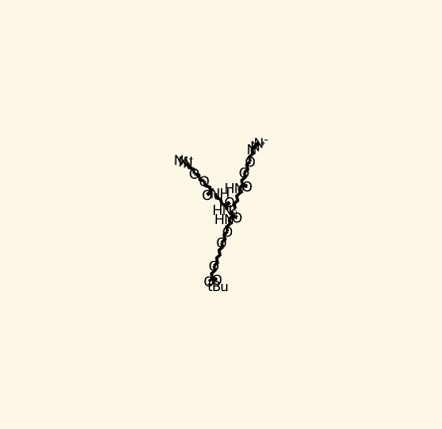 CC(C)(C)OC(=O)CCOCCCCCOCCOCCNC(=O)[C@H](CCCCCNC(=O)CCOCCOCCN=[N+]=[N-])NC(=O)CCCNC(=O)CCOCCOCCN=[N+]=[N-]